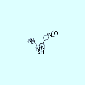 Cn1cc(C2CN(S)c3ncc(C4=CCC(C)(N5CCOCC5)CC4)cc32)cn1